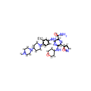 CCc1cc(Nc2nc(NC3CCOCC3)c(-c3ccno3)nc2C(N)=O)ccc1N1CCC(N2CCN(C)CC2)CC1